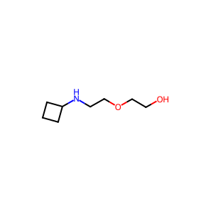 OCCOCCNC1CCC1